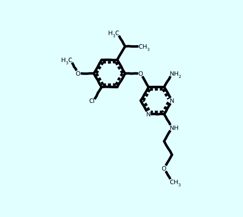 COCCNc1ncc(Oc2cc(Cl)c(OC)cc2C(C)C)c(N)n1